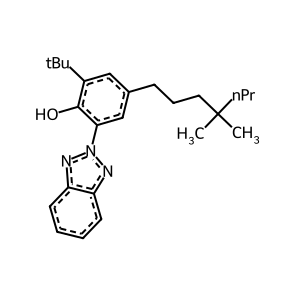 CCCC(C)(C)CCCc1cc(-n2nc3ccccc3n2)c(O)c(C(C)(C)C)c1